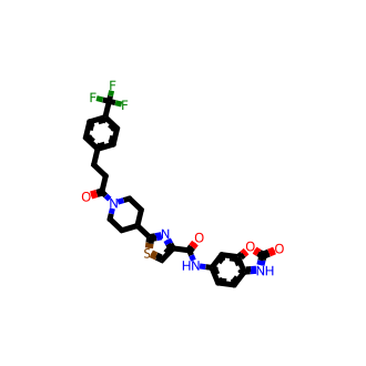 O=C(Nc1ccc2[nH]c(=O)oc2c1)c1csc(C2CCN(C(=O)CCc3ccc(C(F)(F)F)cc3)CC2)n1